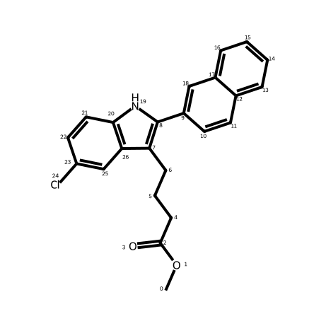 COC(=O)CCCc1c(-c2ccc3ccccc3c2)[nH]c2ccc(Cl)cc12